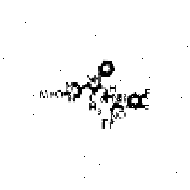 COc1ncc(-c2nn(-c3ccccc3)c(NC(=O)N[C@@H]3CN(C(C)C)O[C@H]3c3ccc(F)c(F)c3)c2C)cn1